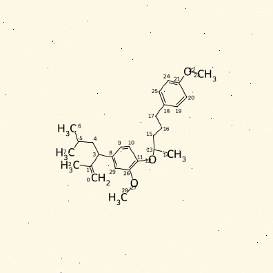 C=C(C)C(CC(C)C)c1ccc(OC(C)CCCc2ccc(OC)cc2)c(OC)c1